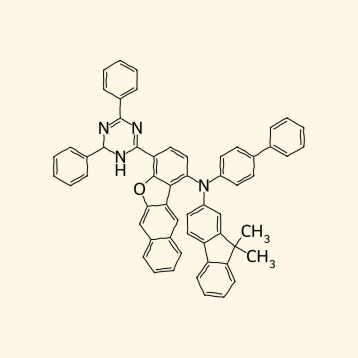 CC1(C)c2ccccc2-c2ccc(N(c3ccc(-c4ccccc4)cc3)c3ccc(C4=NC(c5ccccc5)=NC(c5ccccc5)N4)c4oc5cc6ccccc6cc5c34)cc21